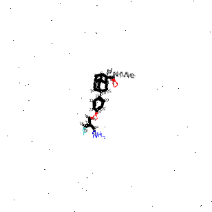 CNC(=O)[C@H]1C2CC3CC1C[C@@](c1ccc(OC/C(=C/F)CN)cc1)(C3)C2